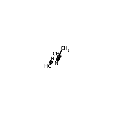 C.C#N.CC#N